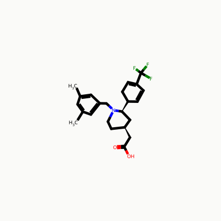 Cc1cc(C)cc(CN2CC[C@H](CC(=O)O)C[C@@H]2C2C=CC(C(F)(F)F)=CC2)c1